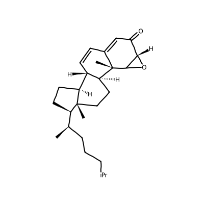 CC(C)CCC[C@@H](C)[C@H]1CC[C@H]2[C@@H]3C=CC4=CC(=O)[C@@H]5OC5[C@]4(C)[C@H]3CC[C@]12C